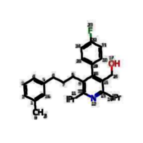 Cc1cccc(CCCc2c(C(C)C)nc(C(C)C)c(CO)c2-c2ccc(F)cc2)c1